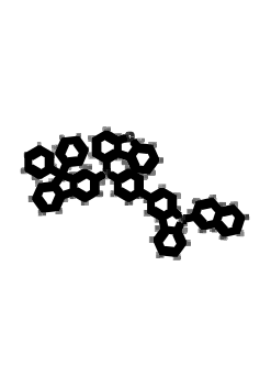 c1ccc(C2(c3ccccc3)c3ccccc3-c3ccc(N(c4ccc(-c5ccc6c(c5)c5ccccc5n6-c5ccc6ccccc6c5)cc4)c4cccc5oc6ccccc6c45)cc32)cc1